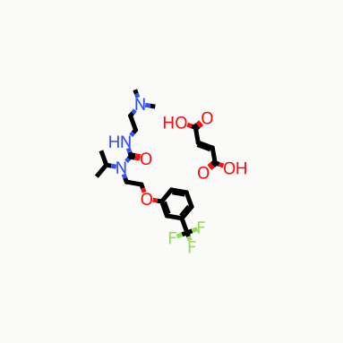 CC(C)N(CCOc1cccc(C(F)(F)F)c1)C(=O)NCCN(C)C.O=C(O)C=CC(=O)O